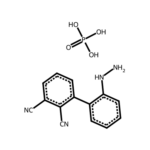 N#Cc1cccc(-c2ccccc2NN)c1C#N.O=P(O)(O)O